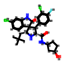 CC(C)(C)C[C@H]1N[C@@H](C(=O)N[C@H]2CC[C@@H](O)C2)[C@H](c2ccc(F)c(Cl)c2)[C@@]12C(=O)Nc1cc(Cl)ccc12